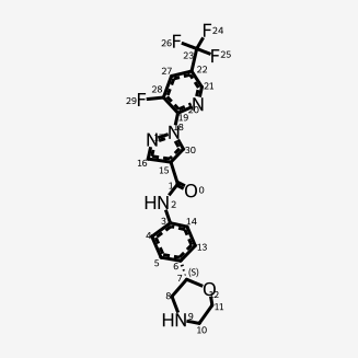 O=C(Nc1ccc([C@H]2CNCCO2)cc1)c1cnn(-c2ncc(C(F)(F)F)cc2F)c1